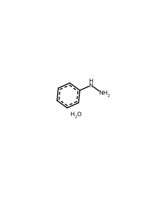 NNc1ccccc1.O